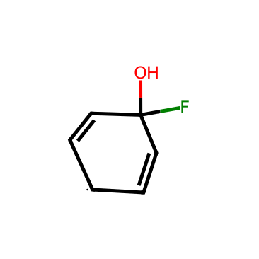 OC1(F)C=C[CH]C=C1